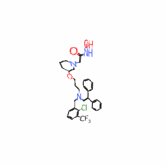 O=C(CN1CCCC(OCCCN(Cc2cccc(C(F)(F)F)c2Cl)CC(c2ccccc2)c2ccccc2)C1)NO